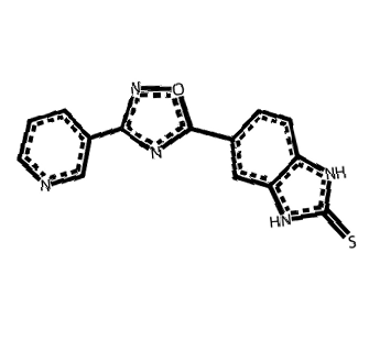 S=c1[nH]c2ccc(-c3nc(-c4cccnc4)no3)cc2[nH]1